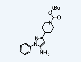 CC(C)(C)OC(=O)N1CCC(c2cc(N)n(-c3ccccc3)n2)CC1